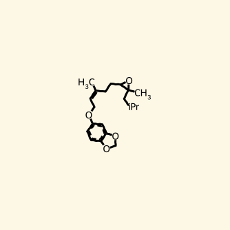 CC(=CCOc1ccc2c(c1)OCO2)CCC1OC1(C)CC(C)C